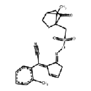 Cc1ccccc1/C(C#N)=C1\C=CC\C1=N/OS(=O)(=O)CC12CCC(CC1=O)C2(C)C